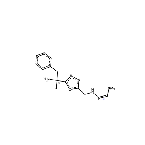 CN/C=N\NCc1nnc([C@](C)(N)Cc2ccccc2)o1